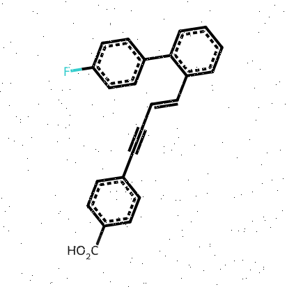 O=C(O)c1ccc(C#C/C=C/c2ccccc2-c2ccc(F)cc2)cc1